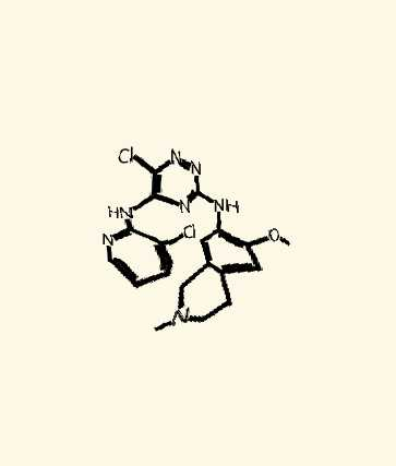 COc1cc2c(cc1Nc1nnc(Cl)c(Nc3ncccc3Cl)n1)CN(C)CC2